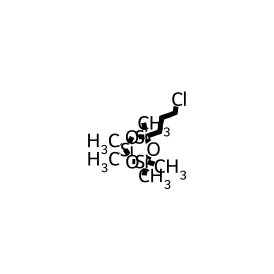 C[Si]1(C)O[Si](C)(C)O[Si](C)(CCCCl)O1